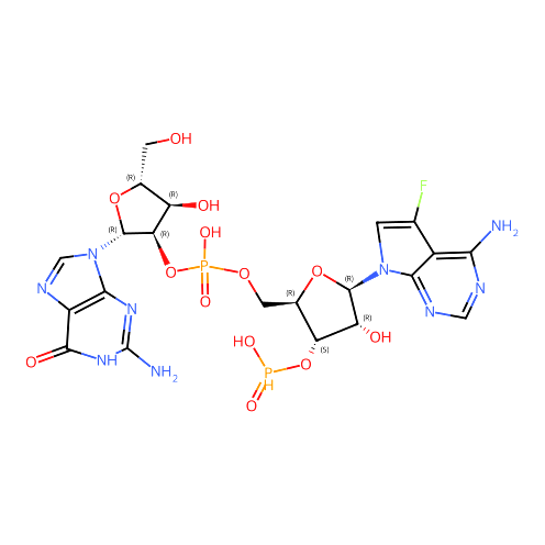 Nc1nc2c(ncn2[C@@H]2O[C@H](CO)[C@@H](O)[C@H]2OP(=O)(O)OC[C@H]2O[C@@H](n3cc(F)c4c(N)ncnc43)[C@H](O)[C@@H]2O[PH](=O)O)c(=O)[nH]1